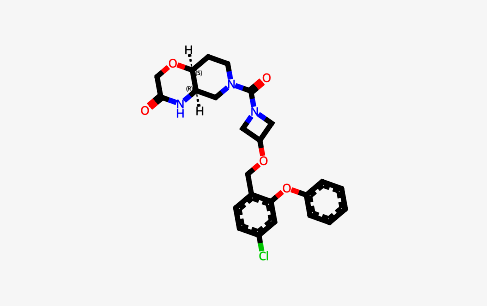 O=C1CO[C@H]2CCN(C(=O)N3CC(OCc4ccc(Cl)cc4Oc4ccccc4)C3)C[C@H]2N1